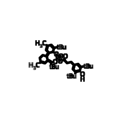 CC1=C/C2=C3\CCC(C)=C\C3=C(/C(C)(C)C)OP(=O)(OC(=O)CCc3cc(C(C)(C)C)c(O)c(C(C)(C)C)c3)OC2C(C(C)(C)C)=C1